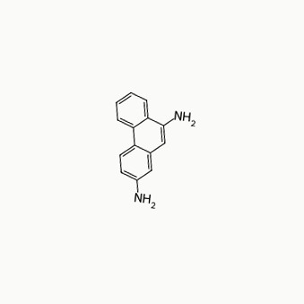 Nc1ccc2c(c1)cc(N)c1ccccc12